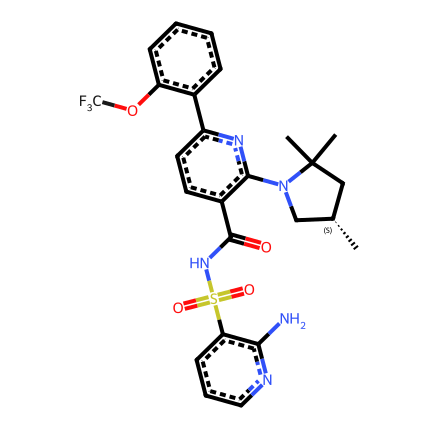 C[C@@H]1CN(c2nc(-c3ccccc3OC(F)(F)F)ccc2C(=O)NS(=O)(=O)c2cccnc2N)C(C)(C)C1